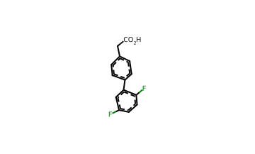 O=C(O)Cc1ccc(-c2cc(F)ccc2F)cc1